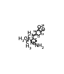 CC(C)(C)c1nc(N)sc1Cc1ccc2c(c1)OCO2